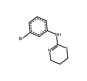 Brc1cccc(NC2=NCCCS2)c1